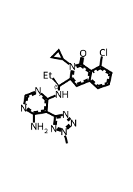 CC[C@H](Nc1ncnc(N)c1-c1nnn(C)n1)c1cc2cccc(Cl)c2c(=O)n1C1CC1